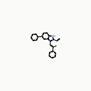 C=Cc1[nH]c2ccc(-c3ccccc3)cc2c1/C=C(\C)c1ccccc1